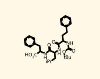 CC(C)CC(NC(=O)C(CCc1ccccc1)NC(=O)OC(C)(C)C)C(=O)NC(Cc1ccccc1)C(=O)O